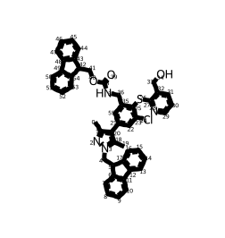 Cc1nn(CC2c3ccccc3-c3ccccc32)c(C)c1-c1cc(Cl)c(Sc2ncccc2CO)c(CNC(=O)OCC2c3ccccc3-c3ccccc32)c1